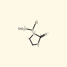 CCOC(=O)OCC.O=C1OCCO1